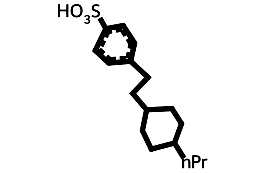 CCCC1CCC(CCc2ccc(S(=O)(=O)O)cc2)CC1